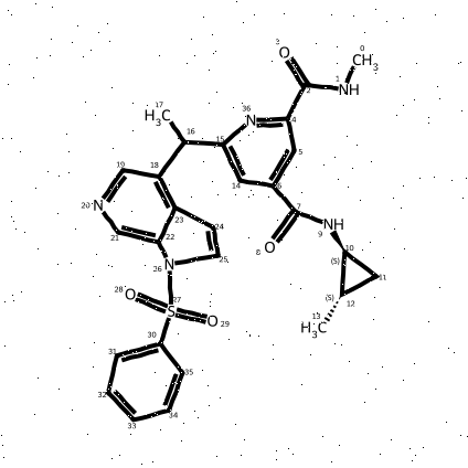 CNC(=O)c1cc(C(=O)N[C@H]2C[C@@H]2C)cc(C(C)c2cncc3c2ccn3S(=O)(=O)c2ccccc2)n1